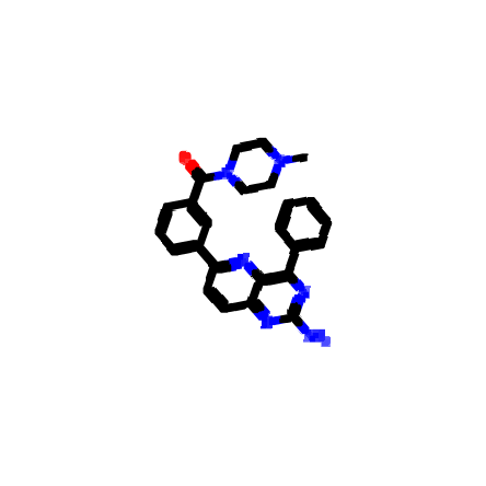 CN1CCN(C(=O)c2cccc(-c3ccc4nc(N)nc(-c5ccccc5)c4n3)c2)CC1